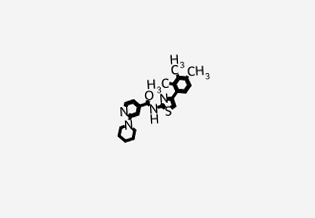 Cc1ccc(-c2csc(NC(=O)c3ccnc(N4CCCCC4)c3)n2)c(C)c1C